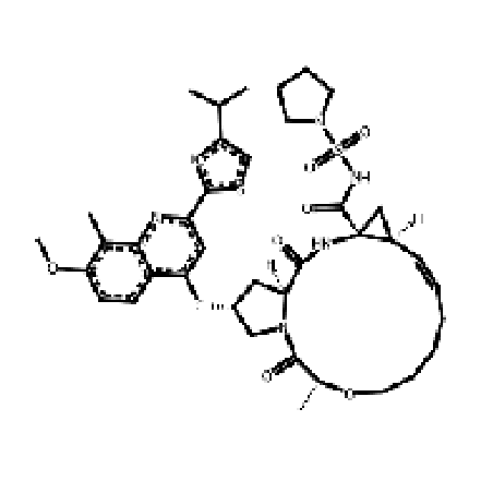 COc1ccc2c(O[C@@H]3C[C@H]4C(=O)N[C@]5(C(=O)NS(=O)(=O)N6CCCC6)C[C@H]5/C=C\CCCCO[C@H](C)C(=O)N4C3)cc(-c3nc(C(C)C)cs3)nc2c1C